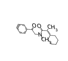 CC(C(=O)N(C)CC(=O)c1cc#ccc1)=C1CCCCC1